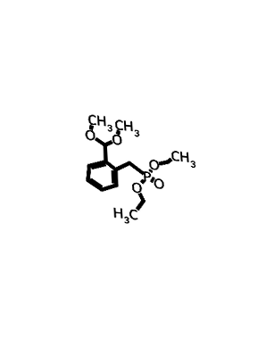 CCOP(=O)(Cc1ccccc1C(OC)OC)OCC